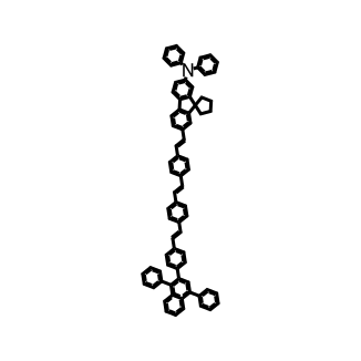 C(=C\c1ccc(/C=C/c2ccc3c(c2)C2(CCCC2)c2cc(N(c4ccccc4)c4ccccc4)ccc2-3)cc1)/c1ccc(/C=C/c2ccc(-c3cc(-c4ccccc4)c4ccccc4c3-c3ccccc3)cc2)cc1